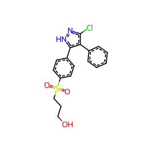 O=S(=O)(CCCO)c1ccc(-c2[nH]nc(Cl)c2-c2ccccc2)cc1